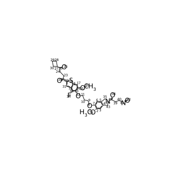 COc1cc2c(cc1OCCCOc1c(OC)cc3sc(C(=O)CCC(=O)C4CCC4)cc3c1F)CN(C(=O)CCN=O)C2